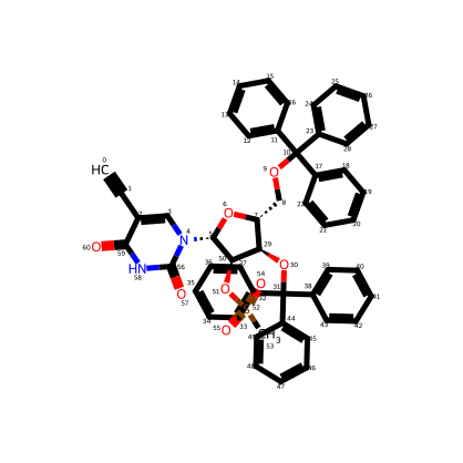 C#Cc1cn([C@@H]2O[C@H](COC(c3ccccc3)(c3ccccc3)c3ccccc3)[C@@H](OC(c3ccccc3)(c3ccccc3)c3ccccc3)[C@H]2OS(C)(=O)=O)c(=O)[nH]c1=O